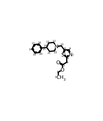 CCOC(=O)Cc1ncc(CN2CCC(c3ccccc3)CC2)s1